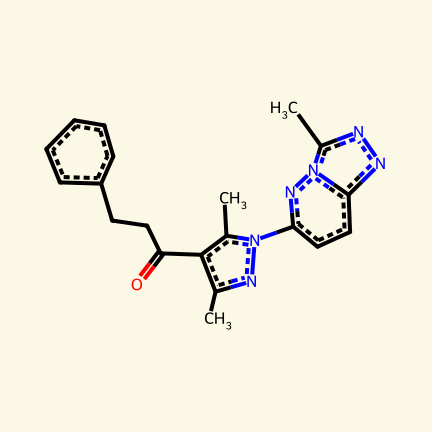 Cc1nn(-c2ccc3nnc(C)n3n2)c(C)c1C(=O)CCc1ccccc1